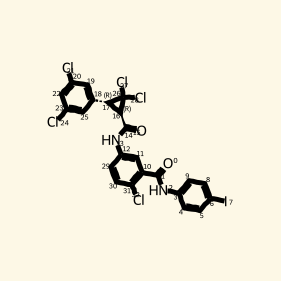 O=C(Nc1ccc(I)cc1)c1cc(NC(=O)[C@H]2[C@H](c3cc(Cl)cc(Cl)c3)C2(Cl)Cl)ccc1Cl